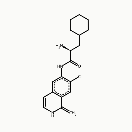 C=C1NC=Cc2cc(NC(=O)[C@@H](N)CC3CCCCC3)c(Cl)cc21